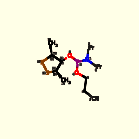 CC(C)N(C(C)C)P(OCCC#N)O[C@H]1[C@H](C)SS[C@@H]1C